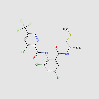 CSC[C@H](C)NC(=O)c1cc(Cl)cc(Cl)c1NC(=O)c1ncc(C(F)(F)F)cc1Cl